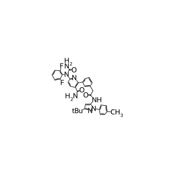 Cc1ccc(-n2nc(C(C)(C)C)cc2NC(=O)Cc2cccc(-c3nc(N(C(N)=O)c4c(F)cccc4F)ccc3C(N)=O)c2)cc1